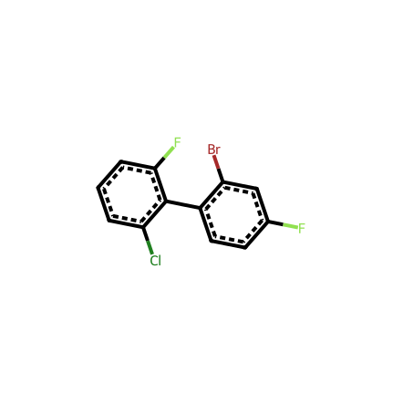 Fc1ccc(-c2c(F)cccc2Cl)c(Br)c1